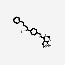 O[C@@H](CCCc1ccccc1)C1CCC(CNc2ncnc3[nH]ncc23)CC1